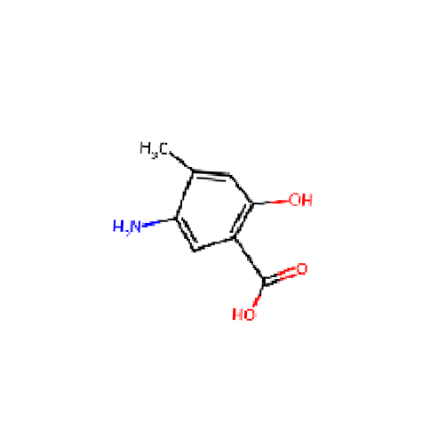 Cc1cc(O)c(C(=O)O)cc1N